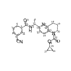 CC(NC(=O)c1cccc(C#N)c1)c1ccc2c(n1)CCCN2C(=O)OC1CC1